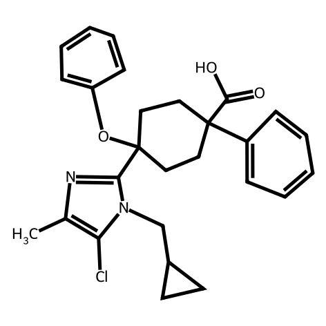 Cc1nc(C2(Oc3ccccc3)CCC(C(=O)O)(c3ccccc3)CC2)n(CC2CC2)c1Cl